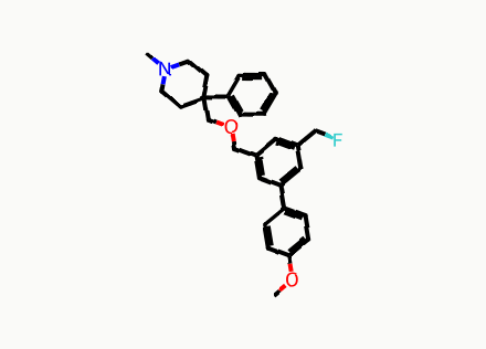 COc1ccc(-c2cc(CF)cc(COCC3(c4ccccc4)CCN(C)CC3)c2)cc1